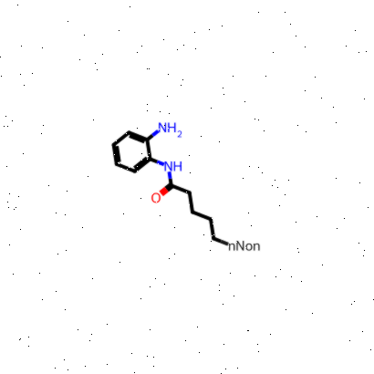 CCCCCCCCCCCCCC(=O)Nc1ccccc1N